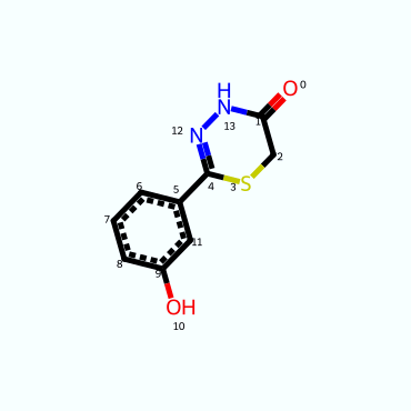 O=C1CSC(c2cccc(O)c2)=NN1